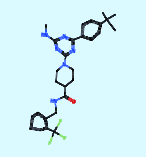 CNc1nc(-c2ccc(C(C)(C)C)cc2)nc(N2CCC(C(=O)NCc3ccccc3C(F)(F)F)CC2)n1